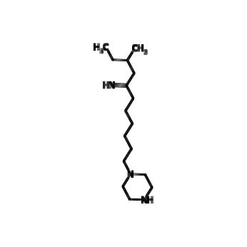 CCC(C)CC(=N)CCCCCCN1CCNCC1